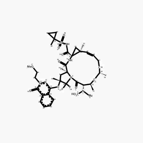 CCC(C)N(C(=O)O)[C@@H]1C(=O)N2[C@@H](C[C@@](C)(Oc3nn(CCOC)c(=O)c4ccccc34)C2(F)F)C(=O)N[C@]2(C(=O)NS(=O)(=O)C3(C)CC3)C[C@H]2/C=C\CC[C@H](C)C[C@H]1C